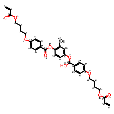 C=CC(=O)OCCCCOc1ccc(C(=O)Oc2ccc(OC(O)c3ccc(OCCCCOC(=O)C=C)cc3)cc2C(C)(C)C)cc1